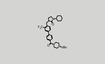 CCCCN1CCN(C(=O)c2ccc(-c3ccc(CC4CCN(C5CCCCC5)C4=O)c(C(F)(F)F)c3)cc2)CC1